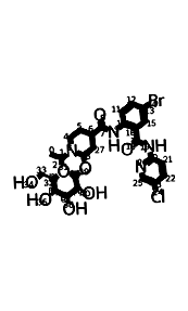 CC(C)N1CCC(C(=O)Nc2ccc(Br)cc2C(=O)Nc2ccc(Cl)cn2)CC1O[C@@H]1O[C@H](CO)[C@H](O)[C@H](O)[C@H]1O